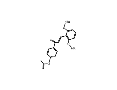 C=C(C)Oc1ccc(C(=O)C=Cc2c(OCCCC)cccc2OCCCC)cc1